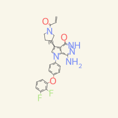 C=CC(=O)N1CC[C@H](c2cn(-c3ccc(Oc4cccc(F)c4F)cc3)c3c(N)n[nH]c(=O)c23)C1